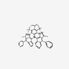 Cc1nn2c3c(c4ccccc4c(-c4ccccc4)c13)B1c3c-2c2c4c(c3-n3nc(C)c5c(-c6ccccc6)c6ccccc6c1c53)C(C)(C)CCC4(C)CCC2(C)C